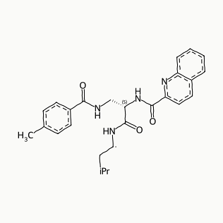 Cc1ccc(C(=O)NC[C@H](NC(=O)c2ccc3ccccc3n2)C(=O)N[CH]CC(C)C)cc1